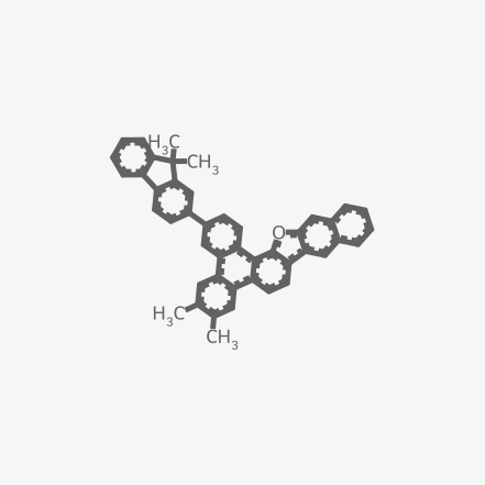 Cc1cc2c3cc(-c4ccc5c(c4)C(C)(C)c4ccccc4-5)ccc3c3c(ccc4c5cc6ccccc6cc5oc43)c2cc1C